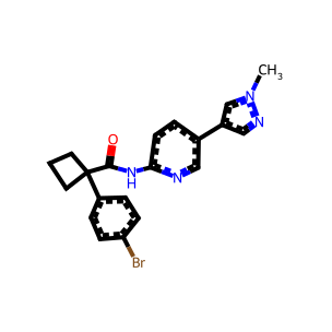 Cn1cc(-c2ccc(NC(=O)C3(c4ccc(Br)cc4)CCC3)nc2)cn1